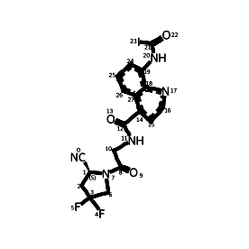 N#C[C@@H]1CC(F)(F)CN1C(=O)CNC(=O)c1ccnc2c(NC(=O)I)cccc12